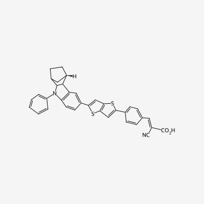 N#C/C(=C\c1ccc(-c2cc3sc(-c4ccc5c(c4)C4C(C6CC[C@H]4C6)N5c4ccccc4)cc3s2)cc1)C(=O)O